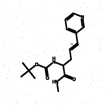 CNC(=O)C(C/C=C/c1cccnc1)NC(=O)OC(C)(C)C